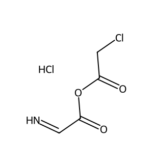 Cl.N=CC(=O)OC(=O)CCl